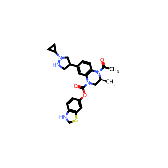 CC(=O)N1c2ccc(C3CNN(C4CC4)C3)cc2N(C(=O)Oc2ccc3c(c2)SCN3)C[C@@H]1C